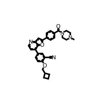 CN1CCN(C(=O)c2ccc(-c3cc4nccc(-c5ccc(OCC6CCC6)c(C#N)c5)c4o3)cc2)CC1